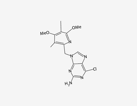 COc1nc(Cn2cnc3c(Cl)nc(N)nc32)c(C)c(OC)c1C